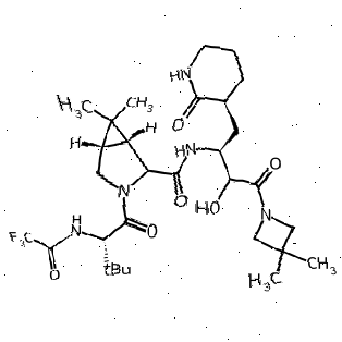 CC1(C)CN(C(=O)C(O)[C@H](C[C@@H]2CCCNC2=O)NC(=O)C2[C@@H]3[C@H](CN2C(=O)[C@@H](NC(=O)C(F)(F)F)C(C)(C)C)C3(C)C)C1